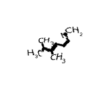 C=N/C=C\C=C(/C)C(C)C